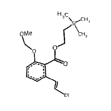 CC/C=C/c1cccc(OCOC)c1C(=O)OCC[Si](C)(C)C